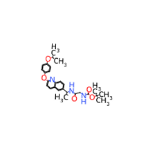 CC(C)Oc1ccc(Oc2ccc3cc(C(C)NC(=O)CNC(=O)OC(C)(C)C)ccc3n2)cc1